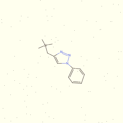 C[Si](C)(C)Cc1cn(-c2ccccc2)nn1